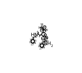 C/C(=C\C(=C/C(C)NCCc1ccccc1)c1nnc([C@](C)(N)Cc2ccccc2)o1)N(C)S(=O)(=O)C(C)C